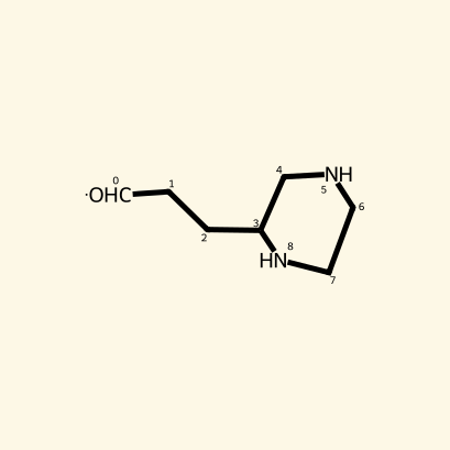 O=[C]CCC1CNCCN1